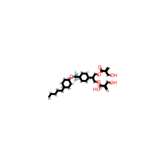 C=C(CO)C(=O)OCC(COC(O)C(=C)CO)C1CCC(C(F)(F)OC2CCC(CCCCC)CC2)CC1